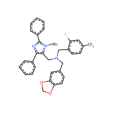 CCCCn1c(-c2ccccc2)nc(-c2ccccc2)c1CN(Cc1ccc2c(c1)OCO2)Cc1ccc(C(F)(F)F)cc1F